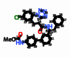 COC(=O)Nc1ccc(-c2cccc([C@H](Cc3ccccc3)NC(=O)CCc3cc(Cl)ccc3-n3cnnn3)c2)cc1